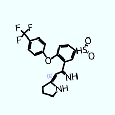 N=C(/C=C1/CCCN1)c1cc([SH](=O)=O)ccc1Oc1ccc(C(F)(F)F)cc1